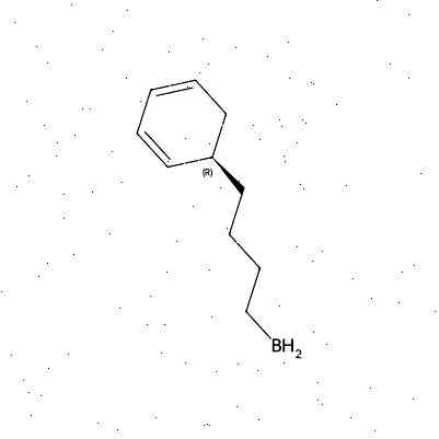 BCCCC[C@H]1C=CC=CC1